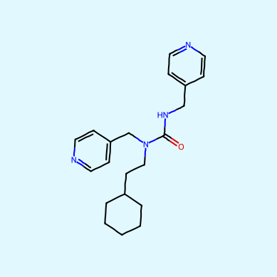 O=C(NCc1ccncc1)N(CCC1CCCCC1)Cc1ccncc1